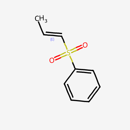 C/C=C/S(=O)(=O)c1ccccc1